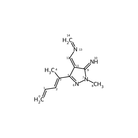 C=C/C=C(\C)C1=NN(C)C(=N)/C1=C\N=C